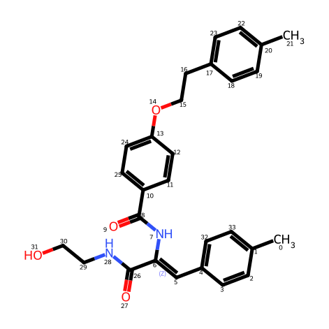 Cc1ccc(/C=C(\NC(=O)c2ccc(OCCc3ccc(C)cc3)cc2)C(=O)NCCO)cc1